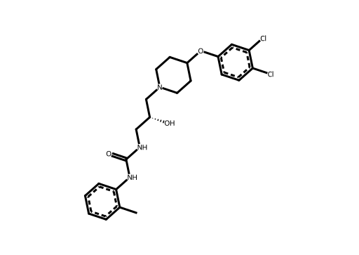 Cc1ccccc1NC(=O)NC[C@@H](O)CN1CCC(Oc2ccc(Cl)c(Cl)c2)CC1